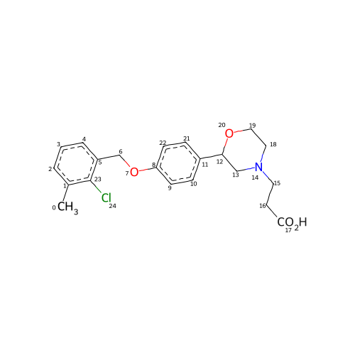 Cc1cccc(COc2ccc(C3CN(CCC(=O)O)CCO3)cc2)c1Cl